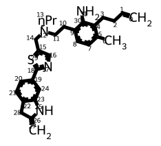 C=CCCc1c(C)ccc(CCN(CCC)Cc2cnc(-c3ccc4c(c3)NC(=C)C4)s2)c1N